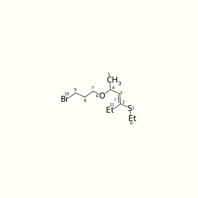 CCS/C(=C/C(C)OCCCBr)CC